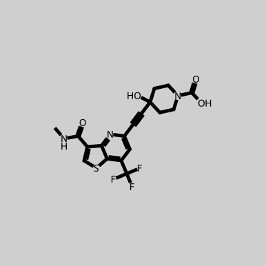 CNC(=O)c1csc2c(C(F)(F)F)cc(C#CC3(O)CCN(C(=O)O)CC3)nc12